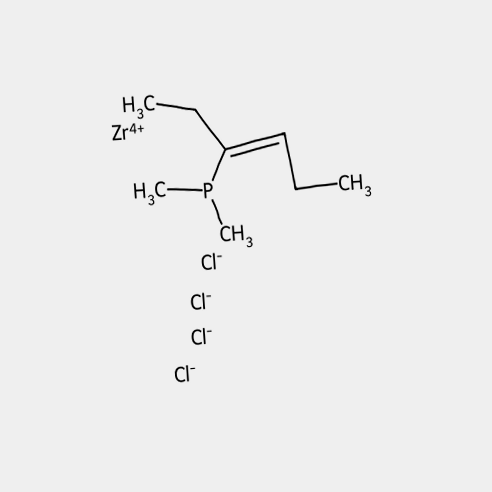 CCC=C(CC)P(C)C.[Cl-].[Cl-].[Cl-].[Cl-].[Zr+4]